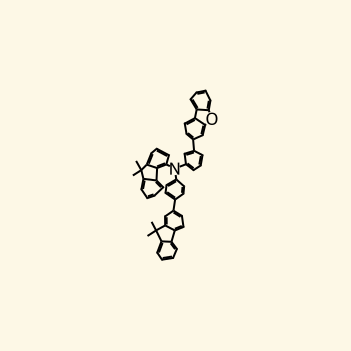 CC1(C)c2ccccc2-c2ccc(-c3ccc(N(c4cccc(-c5ccc6c(c5)oc5ccccc56)c4)c4cccc5c4-c4ccccc4C5(C)C)cc3)cc21